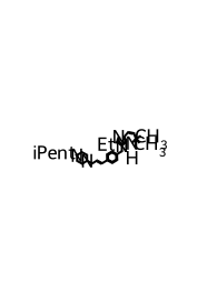 CCCC(C)N1CCN(CC=Cc2ccc(Cn3c(CC)nc4c3NC(C)(C)C=C4)cc2)CC1